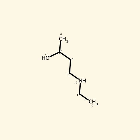 CCNCC[C](C)O